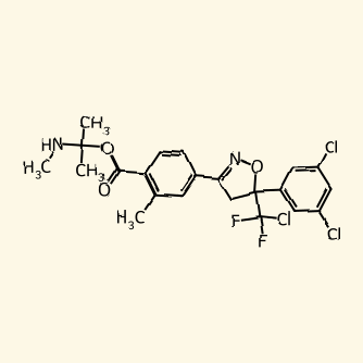 CNC(C)(C)OC(=O)c1ccc(C2=NOC(c3cc(Cl)cc(Cl)c3)(C(F)(F)Cl)C2)cc1C